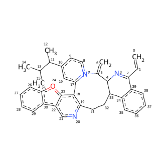 C=CC1=NC2C(=C)[n+]3ccc(C(C)C(C)C)cc3-c3c(ncc4c3oc3ccccc34)CCC2c2ccccc21